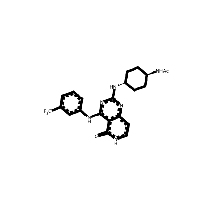 CC(=O)N[C@H]1CC[C@H](Nc2nc(Nc3cccc(C(F)(F)F)c3)c3c(=O)[nH]ccc3n2)CC1